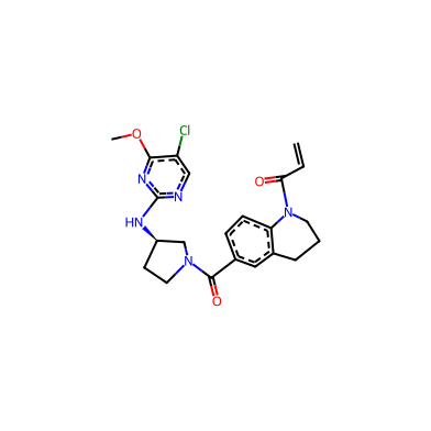 C=CC(=O)N1CCCc2cc(C(=O)N3CC[C@@H](Nc4ncc(Cl)c(OC)n4)C3)ccc21